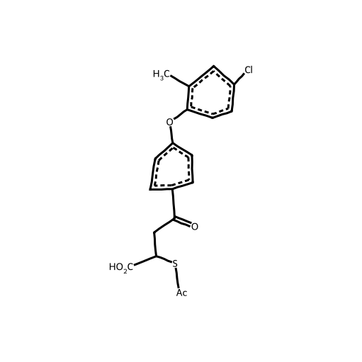 CC(=O)SC(CC(=O)c1ccc(Oc2ccc(Cl)cc2C)cc1)C(=O)O